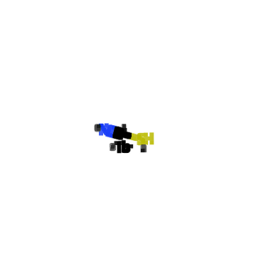 N#CS.[Tb]